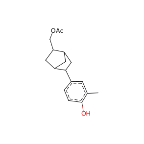 CC(=O)OCC1CC2CC1CC2c1ccc(O)c(C)c1